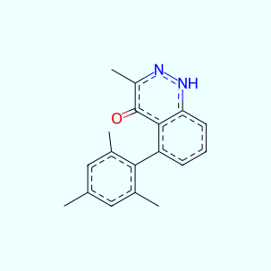 Cc1cc(C)c(-c2cccc3[nH]nc(C)c(=O)c23)c(C)c1